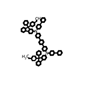 C=CC1=CC=C(C2(c3ccccc3)c3ccccc3-c3ccc(N(c4ccc(-c5ccccc5)cc4)c4ccc(-c5ccc(-c6ccc(N(c7ccc(-c8ccccc8)cc7)c7ccc8c(c7)C(c7ccccc7)(c7ccc(C=C)cc7)c7ccccc7-8)cc6)cc5)cc4)cc32)CC1